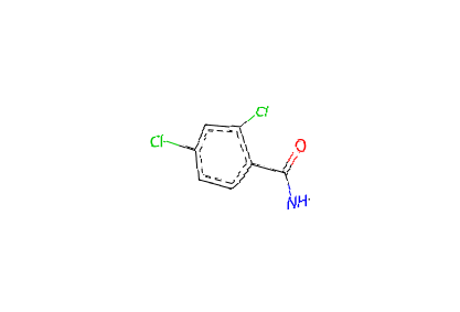 [NH]C(=O)c1ccc(Cl)cc1Cl